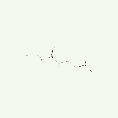 CCOC(=S)NCCC(C)C